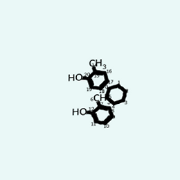 C1CCCCC1.Cc1ccccc1O.Cc1ccccc1O